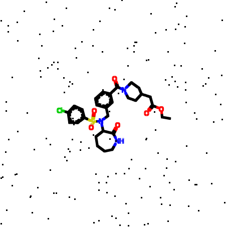 CCOC(=O)CC1CCN(C(=O)c2cccc(CN(C3CCCCNC3=O)S(=O)(=O)c3ccc(Cl)cc3)c2)CC1